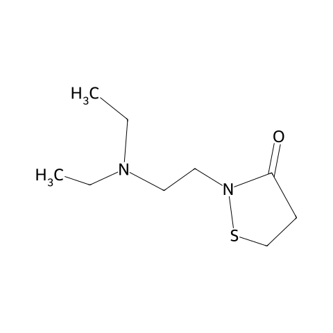 CCN(CC)CCN1SCCC1=O